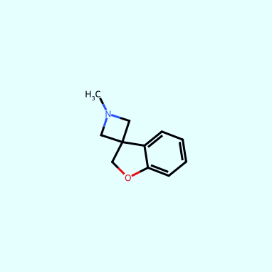 CN1CC2(COc3ccccc32)C1